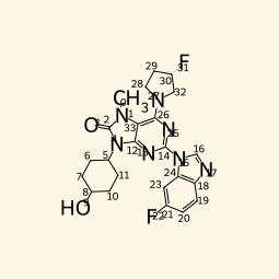 Cn1c(=O)n(C2CCC(O)CC2)c2nc(-n3cnc4ccc(F)cc43)nc(N3CC[C@H](F)C3)c21